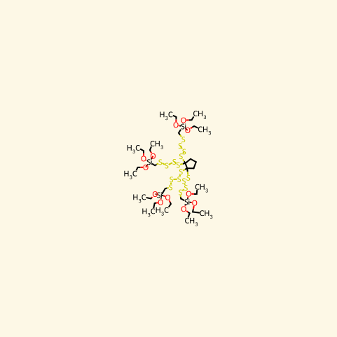 CCO[Si](CSSSSC1(SSSSC[Si](OCC)(OCC)OCC)CCCC1(SSSSC[Si](OCC)(OCC)OCC)SSSSC[Si](OCC)(OCC)OCC)(OCC)OCC